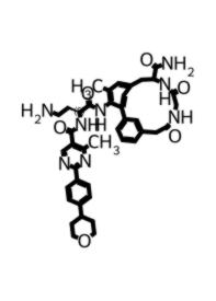 Cc1cc2cc(c1NC(=O)[C@H](CCN)NC(=O)c1cnc(-c3ccc(C4CCOCC4)cc3)nc1C)-c1cccc(c1)CC(=O)NCC(=O)NC(C(N)=O)C2